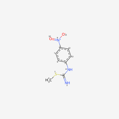 CSC(=N)Nc1ccc([N+](=O)[O-])cc1